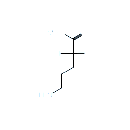 COC(=O)C(Cl)(Cl)CCCN